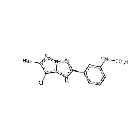 CC(C)(C)c1nn2nc(-c3cccc(NC(=O)O)c3)[nH]c2c1Cl